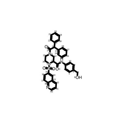 O=C(Nc1ccc(CO)cc1)C1CN(C(=O)C(c2ccccc2)c2ccccc2)CCN1S(=O)(=O)c1ccc2ncccc2c1